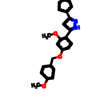 COc1ccc(COc2ccc(-c3cc(-c4ccccc4)n[nH]3)c(OC)c2)cc1